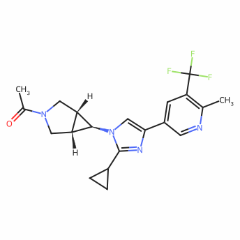 CC(=O)N1C[C@@H]2[C@H](C1)[C@H]2n1cc(-c2cnc(C)c(C(F)(F)F)c2)nc1C1CC1